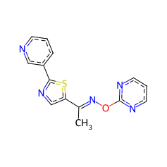 C/C(=N\Oc1ncccn1)c1cnc(-c2cccnc2)s1